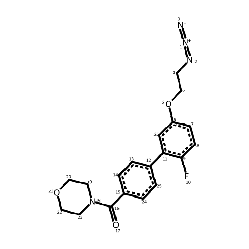 [N-]=[N+]=NCCOc1ccc(F)c(-c2ccc(C(=O)N3CCOCC3)cc2)c1